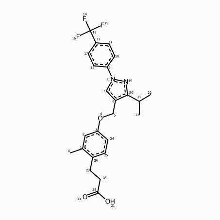 Cc1cc(OCc2cn(-c3ccc(C(F)(F)F)cc3)nc2C(C)C)ccc1CCC(=O)O